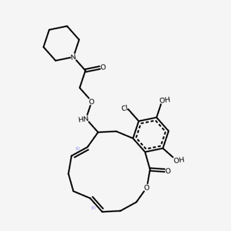 O=C1OCC/C=C/CC/C=C/C(NOCC(=O)N2CCCCC2)Cc2c(Cl)c(O)cc(O)c21